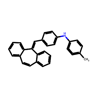 CC1=C=C=C(Nc2ccc(C=C3c4ccccc4C=Cc4ccccc43)cc2)C=C1